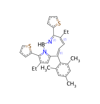 CCC1=C/C=C(\c2c(C)cc(C)cc2C)c2cc(CC)c(-c3cccs3)n2B\N=C\1c1cccs1